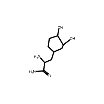 NC(=O)C(N)CC1CCC(O)C(O)C1